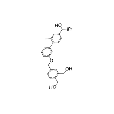 Cc1cc(C(O)C(C)C)ccc1-c1cccc(OCc2ccc(CO)c(CO)c2)c1